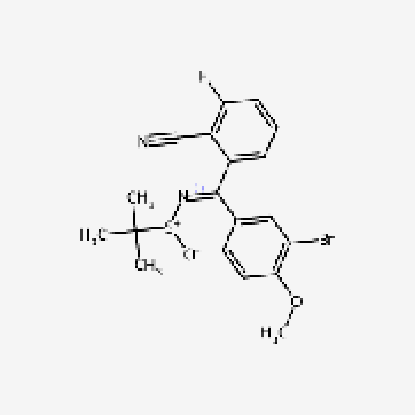 COc1ccc(/C(=N\[S+]([O-])C(C)(C)C)c2cccc(F)c2C#N)cc1Br